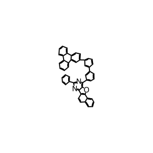 c1ccc(-c2nc(-c3cccc(-c4cccc(-c5ccc6c7ccccc7c7ccccc7c6c5)c4)c3)c3oc4c5ccccc5ccc4c3n2)cc1